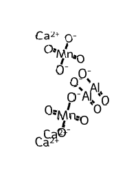 [Ca+2].[Ca+2].[Ca+2].[O]=[Al][O-].[O]=[Al][O-].[O]=[Mn](=[O])([O-])[O-].[O]=[Mn](=[O])([O-])[O-]